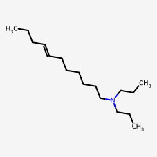 CCC/C=C/CCCCCCN(CCC)CCC